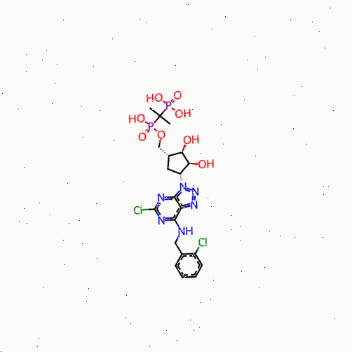 CC(C)(P(=O)(O)O)P(=O)(O)OC[C@H]1C[C@@H](n2nnc3c(NCc4ccccc4Cl)nc(Cl)nc32)[C@H](O)[C@@H]1O